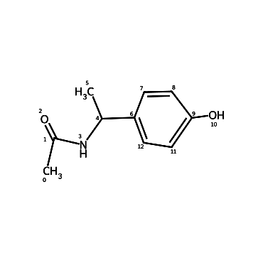 CC(=O)NC(C)c1ccc(O)cc1